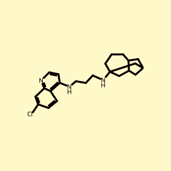 Clc1ccc2c(NCCCNC34CCCC5CC(CC5C3)C4)ccnc2c1